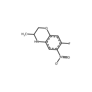 CC1COc2cc(F)c([N+](=O)[O-])cc2N1